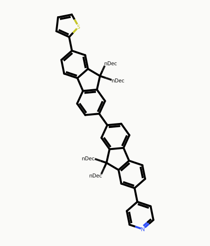 CCCCCCCCCCC1(CCCCCCCCCC)c2cc(-c3ccncc3)ccc2-c2ccc(-c3ccc4c(c3)C(CCCCCCCCCC)(CCCCCCCCCC)c3cc(-c5cccs5)ccc3-4)cc21